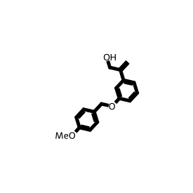 C=C(CO)c1cccc(OCc2ccc(OC)cc2)c1